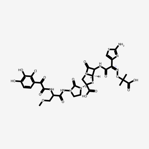 COCC(NC(=O)C(=O)c1ccc(O)c(O)c1Cl)C(=O)NN1CCN([C@]2(C(=O)O)CN3C(=O)C(NC(=O)/C(=N\OC(C)(C)C(=O)O)c4csc(N)n4)[C@H]3S2)C1=O